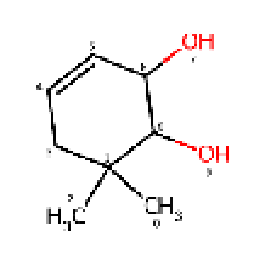 CC1(C)CC=CC(O)C1O